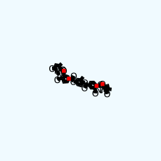 CC1=CC(=O)N(CN2C(=O)c3ccc(C(=O)Oc4ccc(OC(=O)c5ccc6c(c5)C(=O)N(CN5C(=O)C=C(C)C5=O)C6=O)c(C)c4)cc3C2=O)C1=O